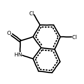 O=C1Nc2cccc3c(Cl)cc(Cl)c1c23